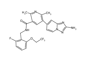 Cc1nc(C)c(-c2ccn3nc(N)nc3c2)cc1C(=O)NCc1c(F)cccc1OCC(F)(F)F